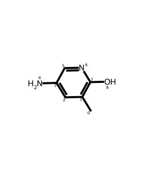 Cc1cc(N)cnc1O